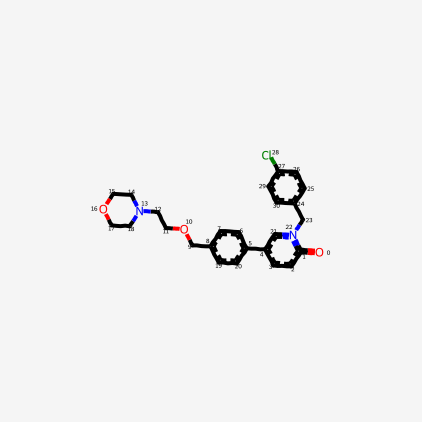 O=c1ccc(-c2ccc(COCCN3CCOCC3)cc2)cn1Cc1ccc(Cl)cc1